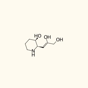 OC/C(O)=C/[C@H]1NCCC[C@H]1O